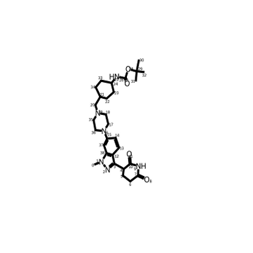 Cn1nc(C2CCC(=O)NC2=O)c2ccc(N3CCN(CC4CCC(NC(=O)OC(C)(C)C)CC4)CC3)cc21